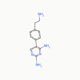 NCCc1ccc(-c2cnc(N)nc2N)cc1